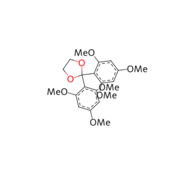 COc1cc(OC)c(C2(c3c(OC)cc(OC)cc3OC)OCCO2)c(OC)c1